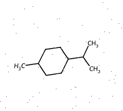 CC1CC[C](C(C)C)CC1